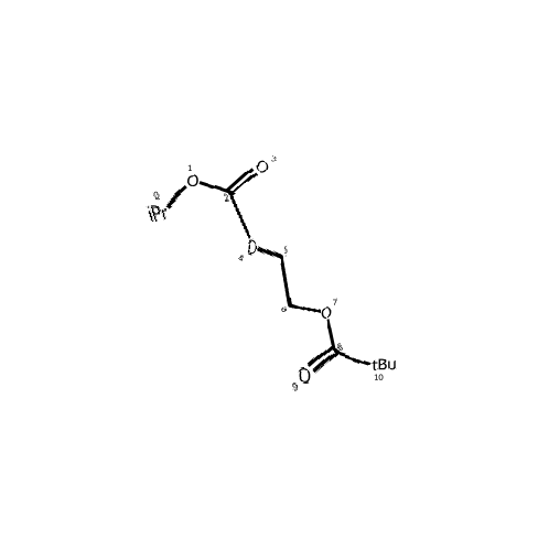 CC(C)OC(=O)O[CH]COC(=O)C(C)(C)C